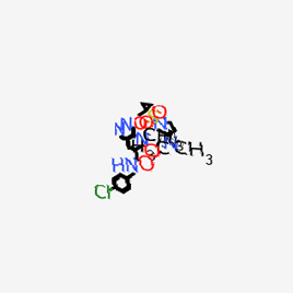 CN(C)[C@@H]1CCN(S(=O)(=O)C2(COc3nncc4cc(C(=O)NCc5ccc(Cl)cc5)c(=O)n(C)c34)CC2)C1